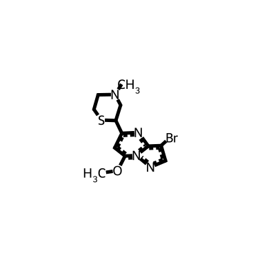 COc1cc(C2CN(C)CCS2)nc2c(Br)cnn12